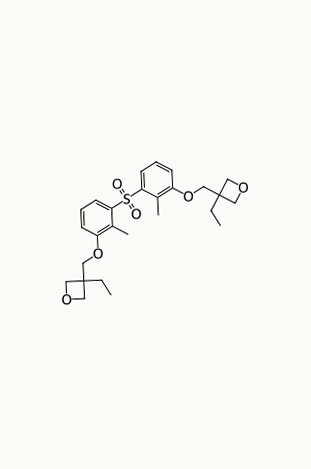 CCC1(COc2cccc(S(=O)(=O)c3cccc(OCC4(CC)COC4)c3C)c2C)COC1